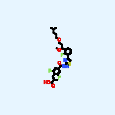 COC(CCOCCCC(C)C)c1cccc(-c2csc(NC(=O)c3cc(F)c(/C=C(\C)C(=O)O)c(F)c3)n2)c1F